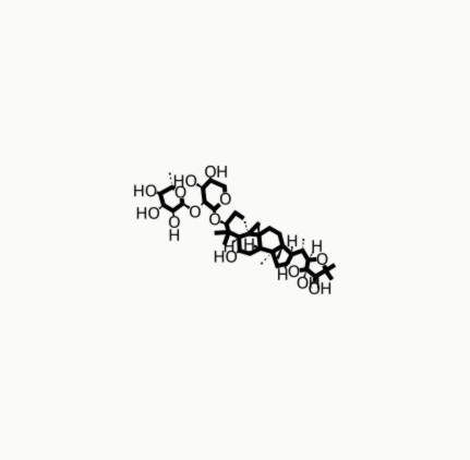 C[C@H]1[C@H]2[C@H](C[C@@]3(C)[C@@H]4C[C@H](O)[C@H]5C(C)(C)[C@@H](O[C@@H]6OC[C@@H](O)[C@H](O)[C@H]6O[C@@H]6O[C@@H](C)[C@H](O)[C@@H](O)[C@H]6O)CC[C@@]56C[C@@]46CC[C@]23C)O[C@]2(O)C(O)C(C)(C)O[C@H]12